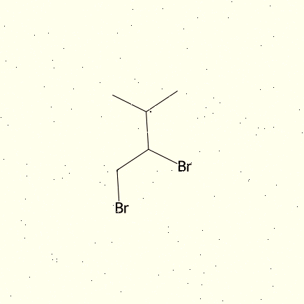 C[C](C)C(Br)CBr